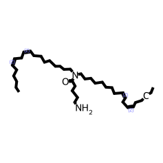 CCCCC/C=C\C/C=C\CCCCCCCCN(CCCCCCCC/C=C\C/C=C\CCCCC)C(=O)CCCCN